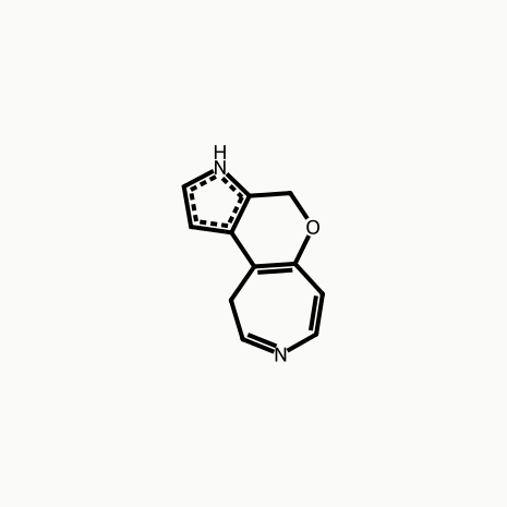 C1=CC2=C(CC=N1)c1cc[nH]c1CO2